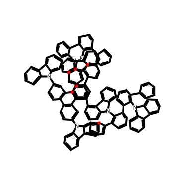 c1ccc(-c2cccc(-c3cccc(-c4ccccc4)c3-n3c4ccccc4c4c(-c5cccc(-c6cc(-n7c8ccccc8c8ccccc87)ccc6-c6ccc(-n7c8ccccc8c8ccccc87)cc6-c6ccc(-c7cccc8c7c7ccccc7n8-c7c(-c8ccccc8)cccc7-c7ccccc7-n7c8ccccc8c8ccccc87)cc6)c5)cccc43)c2-n2c3ccccc3c3ccccc32)cc1